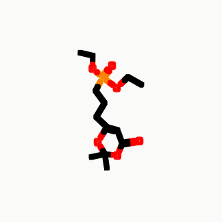 CCOP(=O)(CCCC1=CC(=O)OC(C)(C)O1)OCC